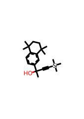 CC(O)(C#C[Si](C)(C)C)c1ccc2c(c1)C(C)(C)CCC2(C)C